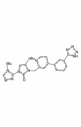 CCCCc1cn(-c2nncn2C(C)(C)C)c(=O)n1Cc1cc(-c2cccc(-c3nnn[nH]3)c2)ccn1